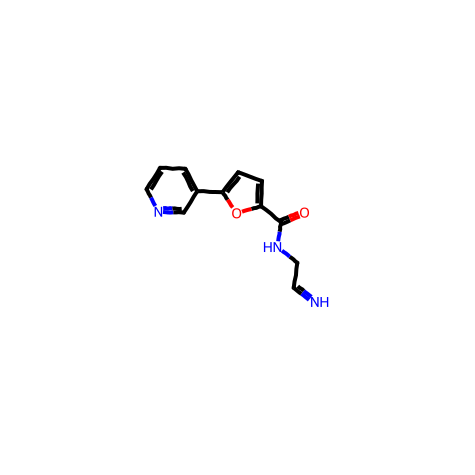 N=CCNC(=O)c1ccc(-c2cccnc2)o1